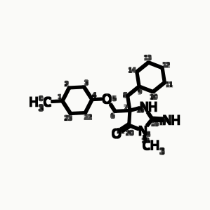 CC1CCC(OCC2(CC3CCCCC3)NC(=N)N(C)C2=O)CC1